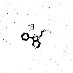 Cl.Cl.NCCn1nc(-c2ccccc2)c2cnccc21